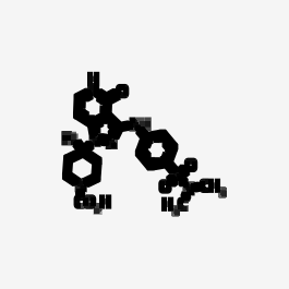 CCC1(n2nc(Nc3ccc(S(=O)(=O)N(C)C)cc3)c3c(=O)[nH]ccc32)CCN(C(=O)O)CC1